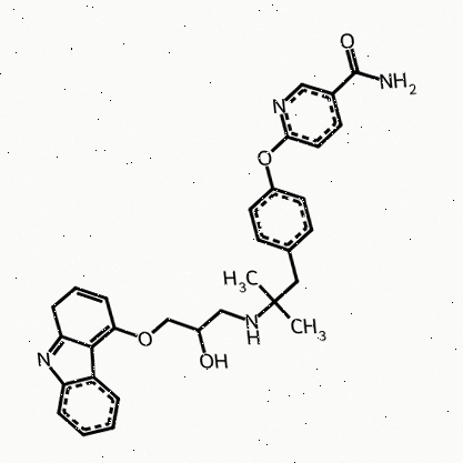 CC(C)(Cc1ccc(Oc2ccc(C(N)=O)cn2)cc1)NCC(O)COC1=C2C(=Nc3ccccc32)CC=C1